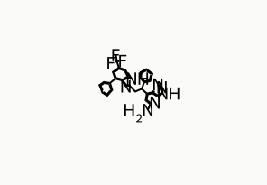 Nc1cc(C(Cc2nc3c(-c4ccccc4)cc(C(F)(F)F)cc3[nH]2)c2ccccc2)c2nn[nH]c2n1